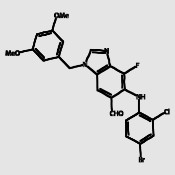 COc1cc(Cn2cnc3c(F)c(Nc4ccc(Br)cc4Cl)c(C=O)cc32)cc(OC)c1